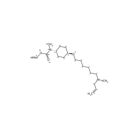 C=CCN(C)CCCCCCO[C@H]1CC[C@H](N(C)C(=O)OCCCCCC)CC1